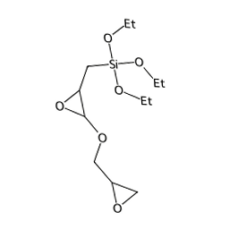 CCO[Si](CC1OC1OCC1CO1)(OCC)OCC